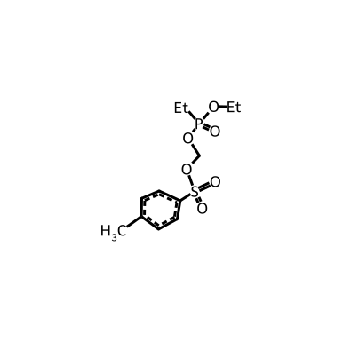 CCOP(=O)(CC)OCOS(=O)(=O)c1ccc(C)cc1